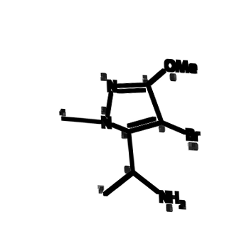 COc1nn(C)c(C(C)N)c1Br